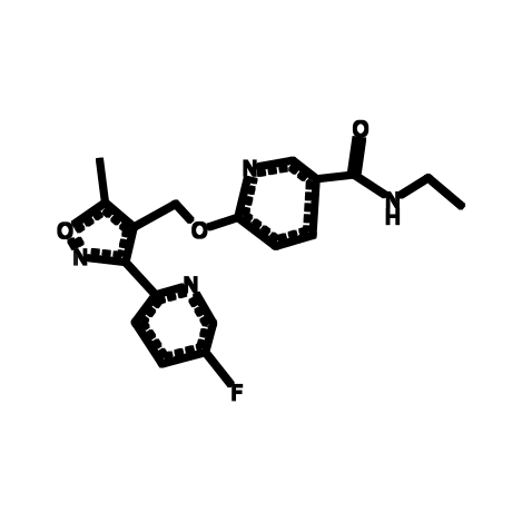 CCNC(=O)c1ccc(OCc2c(-c3ccc(F)cn3)noc2C)nc1